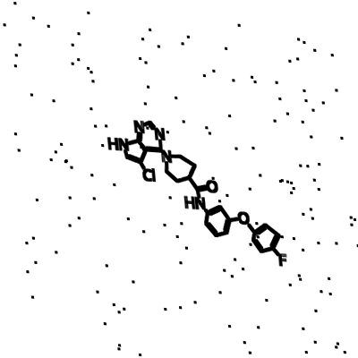 O=C(Nc1cccc(Oc2ccc(F)cc2)c1)C1CCN(c2ncnc3[nH]cc(Cl)c23)CC1